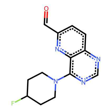 O=Cc1ccc2ncnc(N3CCC(F)CC3)c2n1